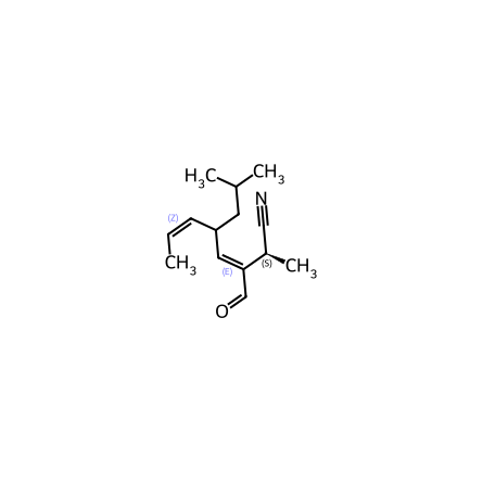 C/C=C\C(/C=C(/C=O)[C@H](C)C#N)CC(C)C